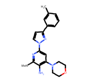 CNc1nc(-n2ccc(-c3cccc(C)c3)n2)cc(N2CCOCC2)c1N